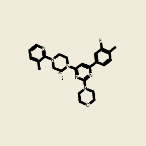 Cc1ccc(-c2cc(N3CCN(c4ncccc4C)C[C@H]3C)nc(N3CCOCC3)n2)cc1F